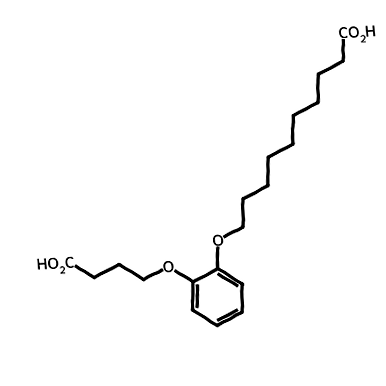 O=C(O)CCCCCCCCCOc1ccccc1OCCCC(=O)O